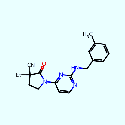 CCC1(C#N)CCN(c2ccnc(NCc3cccc(C)c3)n2)C1=O